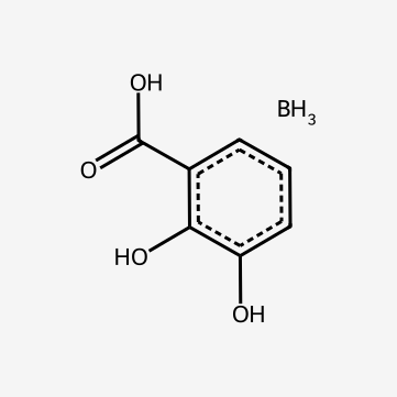 B.O=C(O)c1cccc(O)c1O